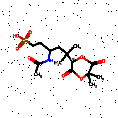 CC(=O)NC(CCS(=O)(=O)O)CC(C)(C)[C@H]1OC(=O)C(C)(C)OC1=O